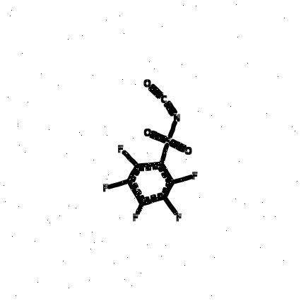 O=C=NS(=O)(=O)c1c(F)c(F)c(F)c(F)c1F